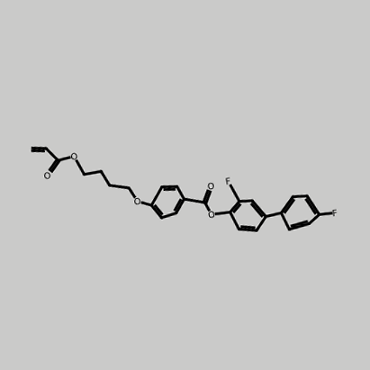 C=CC(=O)OCCCCOc1ccc(C(=O)Oc2ccc(-c3ccc(F)cc3)cc2F)cc1